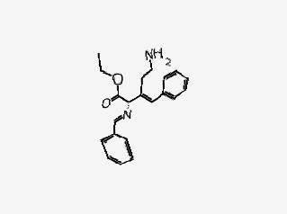 CCOC(=O)[C@@H](N=Cc1ccccc1)C(=Cc1ccccc1)CCN